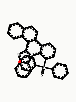 S=P(c1ccccc1)(c1ccccc1)c1cccc2c3ccc4ccccc4c3c3nc4ccccc4n3c12